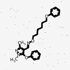 Cc1nn(C)c(Oc2ccccc2)c1C=NOCCCCCCOc1ccccc1